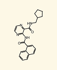 O=C(NCC1CCCC1)c1nccnc1NC(=O)c1cccc2ccccc12